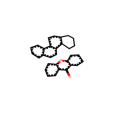 O=c1c2ccccc2oc2ccccc12.c1ccc2c(c1)ccc1c3c(ccc12)CCCC3